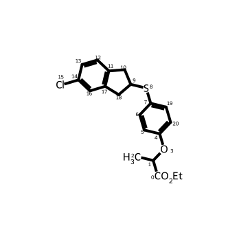 CCOC(=O)C(C)Oc1ccc(SC2Cc3ccc(Cl)cc3C2)cc1